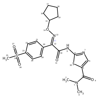 CN(C)C(=O)c1cnc(NC(=O)/C(=N/OC2CCCC2)c2ccc(S(C)(=O)=O)cc2)s1